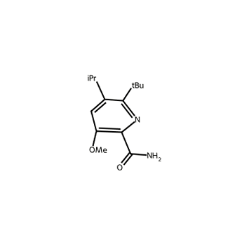 COc1cc(C(C)C)c(C(C)(C)C)nc1C(N)=O